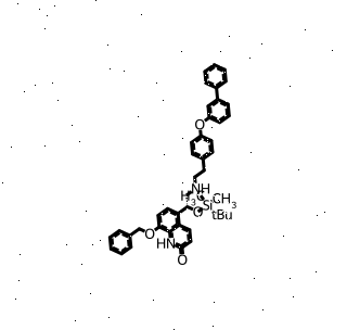 CC(C)(C)[Si](C)(C)O[C@@H](CNCCc1ccc(Oc2cccc(-c3ccccc3)c2)cc1)c1ccc(OCc2ccccc2)c2[nH]c(=O)ccc12